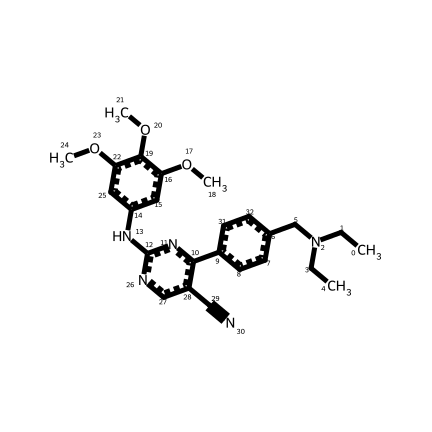 CCN(CC)Cc1ccc(-c2nc(Nc3cc(OC)c(OC)c(OC)c3)ncc2C#N)cc1